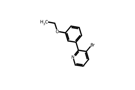 CCOc1cccc(-c2nc[c]cc2Br)c1